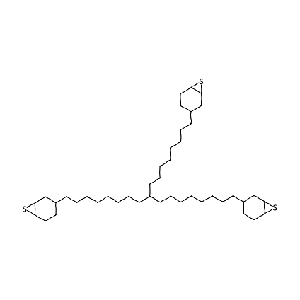 C(CCCCC1CCC2SC2C1)CCCC(CCCCCCCCC1CCC2SC2C1)CCCCCCCCC1CCC2SC2C1